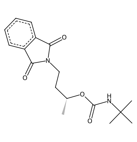 C[C@H](CCN1C(=O)c2ccccc2C1=O)OC(=O)NC(C)(C)C